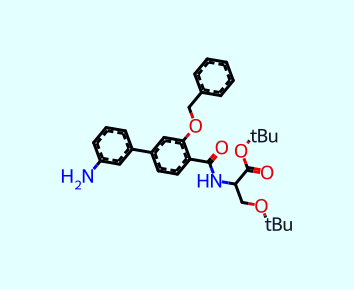 CC(C)(C)OCC(NC(=O)c1ccc(-c2cccc(N)c2)cc1OCc1ccccc1)C(=O)OC(C)(C)C